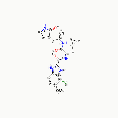 COc1ccc2[nH]c(C(=O)N[C@@H](CC3CC3)C(=O)N[C@H](C#N)C[C@@H]3CCNC3=O)nc2c1Cl